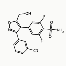 N#Cc1cccc(-c2noc(CO)c2-c2cc(F)c(S(N)(=O)=O)c(F)c2)c1